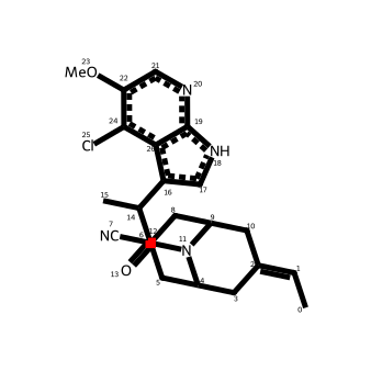 CC=C1CC2CC(C#N)CC(C1)N2C(=O)C(C)c1c[nH]c2ncc(OC)c(Cl)c12